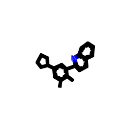 Cc1cc(C2CCCC2)cc(-c2ccc3ccccc3n2)c1C